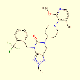 COc1nccc(C)c1N1CCC(N2Cc3nn(C)nc3N(Cc3ccccc3C(F)(F)F)C2=O)CC1